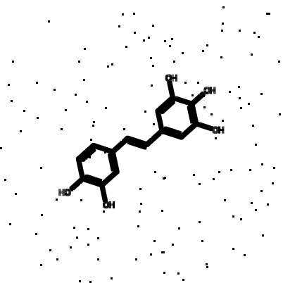 Oc1ccc(C=Cc2cc(O)c(O)c(O)c2)cc1O